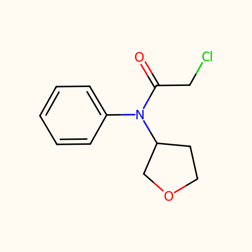 O=C(CCl)N(c1ccccc1)C1CCOC1